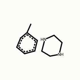 C1CNCCN1.Cc1ccccc1